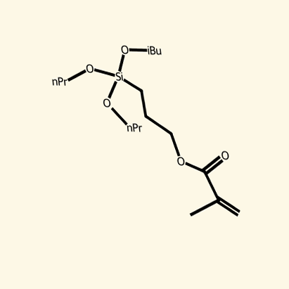 C=C(C)C(=O)OCCC[Si](OCCC)(OCCC)OC(C)CC